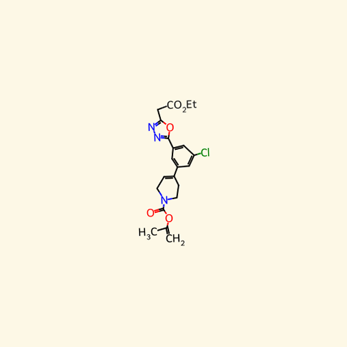 C=C(C)OC(=O)N1CC=C(c2cc(Cl)cc(-c3nnc(CC(=O)OCC)o3)c2)CC1